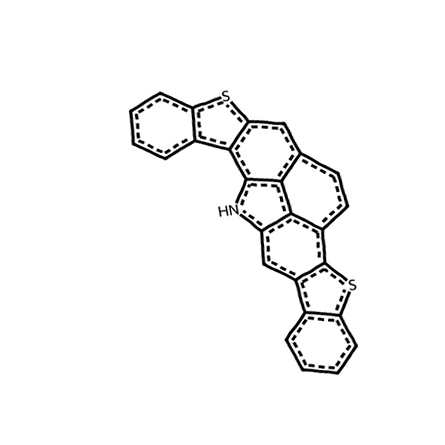 c1ccc2c(c1)sc1c2cc2[nH]c3c4c(cc5ccc1c2c53)sc1ccccc14